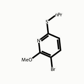 CCCSc1ccc(Br)c(OC)n1